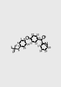 CC(C)(C)Cc1ccc(Oc2ccc(C(=O)c3ccccn3)cc2)cc1